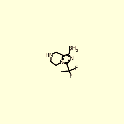 Bc1nc(C(F)(F)F)n2c1CNCC2